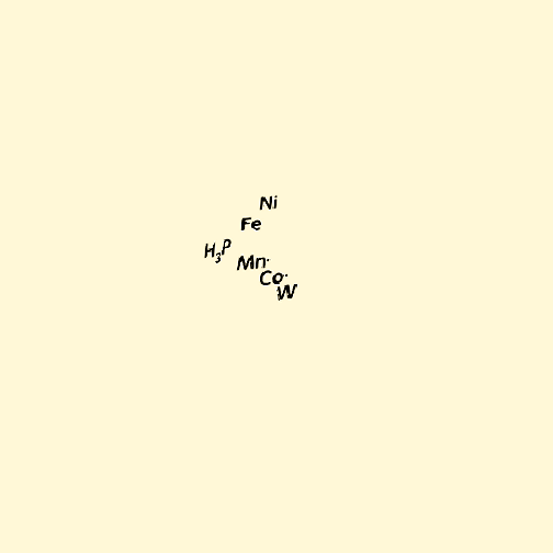 P.[Co].[Fe].[Mn].[Ni].[W]